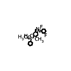 CCO[C@H](C[C@@]1(C)Cc2cnn(-c3cc(F)ccc3F)c2C=C1C)c1ccccc1